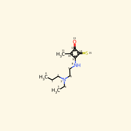 CCCN(CC)CCNc1c(C)c(=O)c1=S